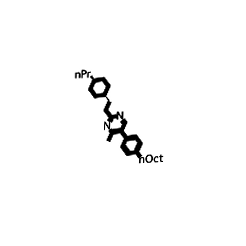 CCCCCCCCc1ccc(-c2cnc(CC[C@H]3CC[C@H](CCC)CC3)nc2C)cc1